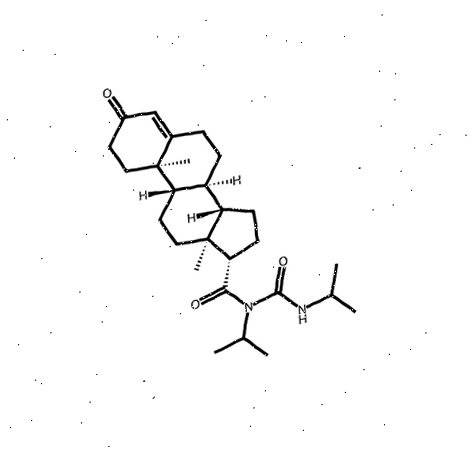 CC(C)NC(=O)N(C(=O)[C@H]1CC[C@H]2[C@@H]3CCC4=CC(=O)CC[C@]4(C)[C@H]3CC[C@]12C)C(C)C